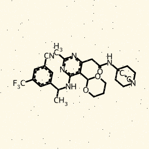 Cc1nc(CC(=O)NC23CCN(CC2)CC3)c(C2OCCCO2)c(NC(C)c2cc(C#N)cc(C(F)(F)F)c2)n1